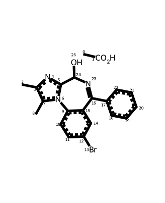 CC(=O)O.Cc1nc2n(c1C)-c1ccc(Br)cc1C(c1ccccc1)=NC2O